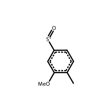 COc1cc([S+]=O)ccc1C